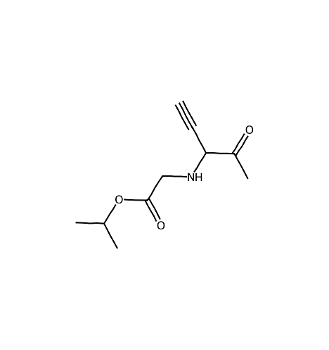 C#CC(NCC(=O)OC(C)C)C(C)=O